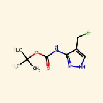 CC(C)(C)OC(=O)Nc1n[nH]cc1CBr